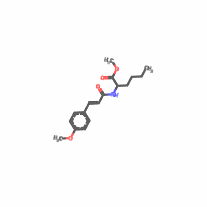 CCCCC(NC(=O)/C=C/c1ccc(OC)cc1)C(=O)OC